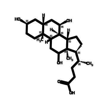 C[C@H](CCC(=O)O)[C@H]1CC[C@H]2[C@@H]3[C@H](O)C[C@H]4C[C@H](O)CC[C@]4(C)[C@H]3CC(O)[C@]12C